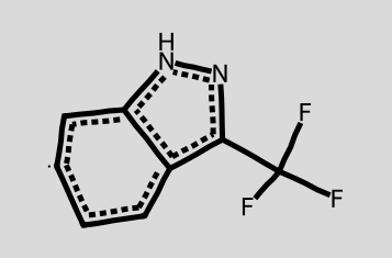 FC(F)(F)c1n[nH]c2c[c]ccc12